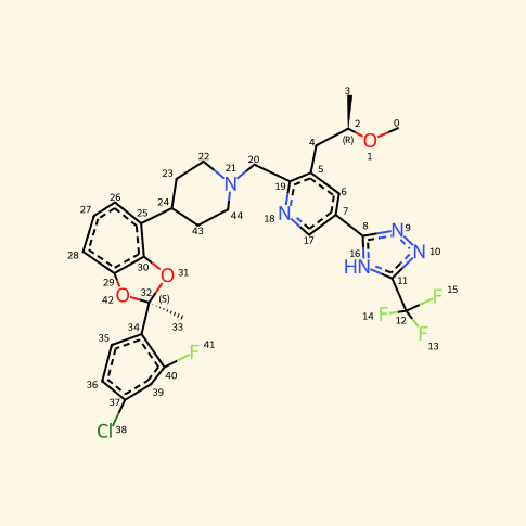 CO[C@H](C)Cc1cc(-c2nnc(C(F)(F)F)[nH]2)cnc1CN1CCC(c2cccc3c2O[C@@](C)(c2ccc(Cl)cc2F)O3)CC1